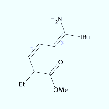 CCC(/C=C\C=C(/N)C(C)(C)C)C(=O)OC